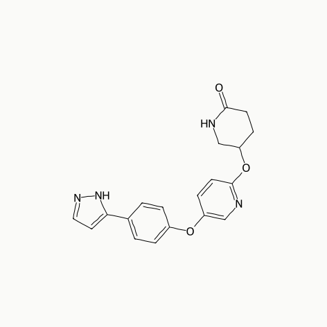 O=C1CCC(Oc2ccc(Oc3ccc(-c4ccn[nH]4)cc3)cn2)CN1